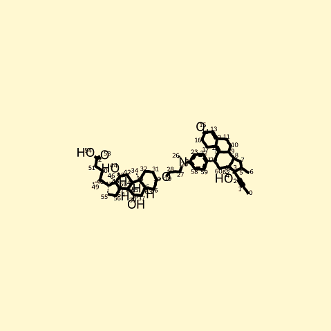 CC#C[C@@]1(O)C(C)CC2C3CCC4=CC(=O)CCC4=C3[C@H](c3ccc(N(C)CCO[C@H]4CC[C@@]5(C)[C@@H](C4)C[C@@H](O)[C@@H]4[C@@H]5C[C@H](O)[C@]5(C)[C@@H]([C@H](C)CCC(=O)O)CC[C@@H]45)cc3)C[C@@]21C